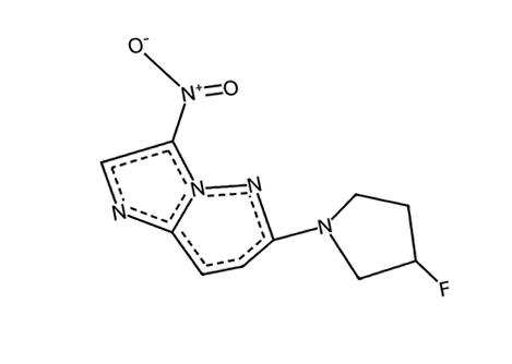 O=[N+]([O-])c1cnc2ccc(N3CCC(F)C3)nn12